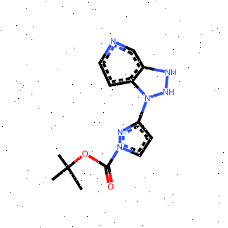 CC(C)(C)OC(=O)n1ccc(N2NNc3cnccc32)n1